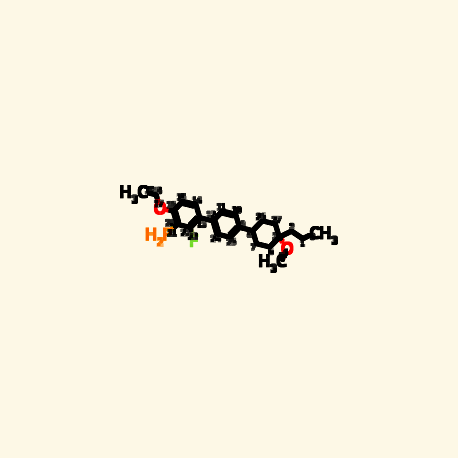 CCCC1(OC)CCC(c2ccc(-c3ccc(OCC)c(P)c3F)cc2)CC1